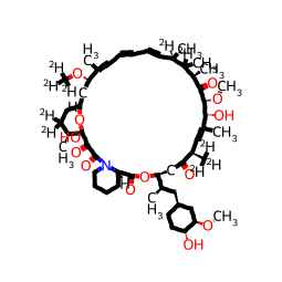 [2H]C([2H])([2H])O[C@H]1C[C@@H]2CC([2H])([2H])[C@@H](C)[C@@](O)(O2)C(=O)C(=O)N2CCCC[C@H]2C(=O)O[C@H]([C@H](C)C[C@@H]2CC[C@@H](O)[C@H](OC)C2)CC(=O)[C@H](C([2H])([2H])[2H])/C=C(\C)[C@@H](O)[C@@H](OC)C(=O)[C@H](C)C([2H])(C)[C@]([2H])(C)/C=C/C=C/C=C/1C